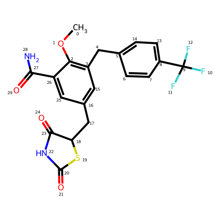 COc1c(Cc2ccc(C(F)(F)F)cc2)cc(CC2SC(=O)NC2=O)cc1C(N)=O